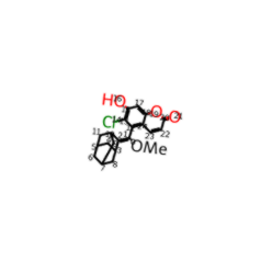 COC(=C1C2CC3CC(C2)CC1C3)c1c(Cl)c(O)cc2oc(=O)ccc12